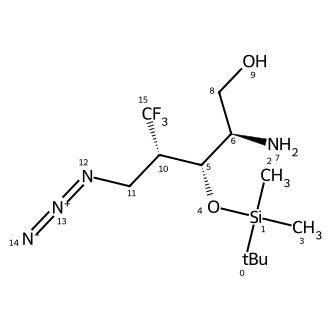 CC(C)(C)[Si](C)(C)O[C@@H]([C@H](N)CO)[C@H](CN=[N+]=[N-])C(F)(F)F